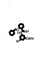 COc1cc(Br)cc(NC(=N)c2ccccc2OCc2ccccc2)c1